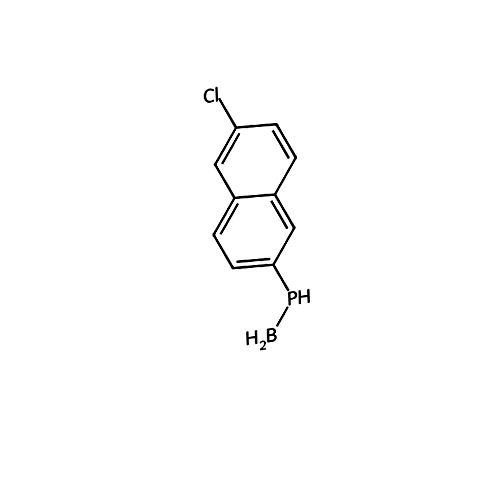 BPc1ccc2cc(Cl)ccc2c1